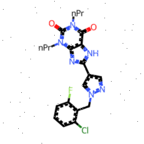 CCCn1c(=O)c2[nH]c(-c3cnn(Cc4c(F)cccc4Cl)c3)nc2n(CCC)c1=O